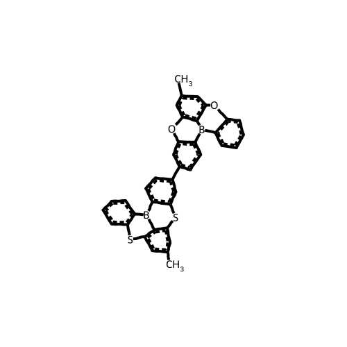 Cc1cc2c3c(c1)Oc1cc(-c4ccc5c(c4)Sc4cc(C)cc6c4B5c4ccccc4S6)ccc1B3c1ccccc1O2